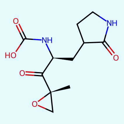 C[C@@]1(C(=O)[C@H](CC2CCNC2=O)NC(=O)O)CO1